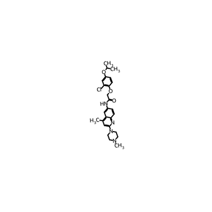 Cc1cc(N2CCN(C)CC2)nc2ccc(NC(=O)COc3ccc(OC(C)C)cc3Cl)cc12